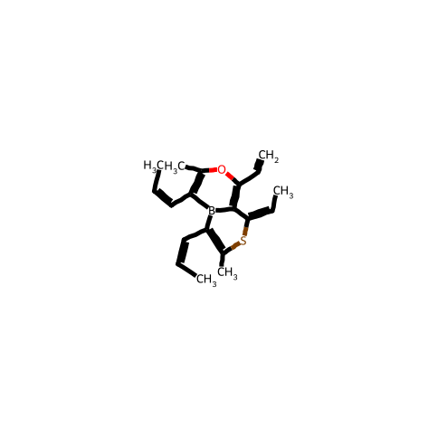 C=CC1=C2B(C(/C=C\C)=C(C)O1)C(/C=C\C)=C(C)S/C2=C/C